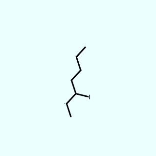 C[CH]C(I)CCCC